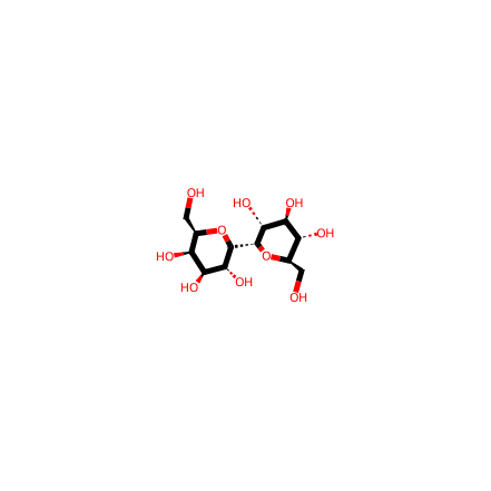 OC[C@H]1O[C]([C@H]2O[C@H](CO)[C@@H](O)[C@H](O)[C@H]2O)[C@H](O)[C@@H](O)[C@H]1O